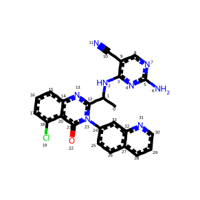 CC(Nc1nc(N)ncc1C#N)c1nc2cccc(Cl)c2c(=O)n1-c1ccc2cccnc2c1